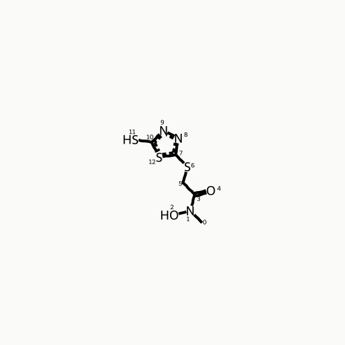 CN(O)C(=O)CSc1nnc(S)s1